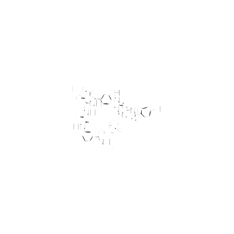 COC(=O)[C@H](CNC(=O)C(=O)Nc1cccc(C(N)=O)c1)NC(=O)c1ccc(Nc2nc(NC3(c4ccc(Cl)cc4)CC3)nc(OCC(F)(F)F)n2)cc1